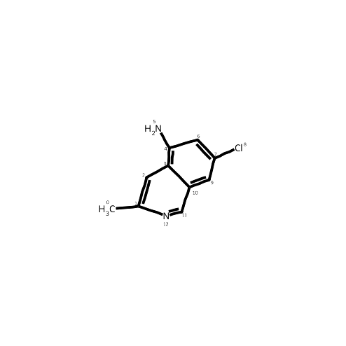 Cc1cc2c(N)cc(Cl)cc2cn1